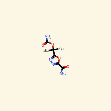 CC(C)(C)C(OC(N)=O)(c1nnc(C(N)=O)o1)C(C)(C)C